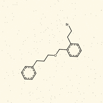 BrCCc1ccccc1COCCCc1ccccc1